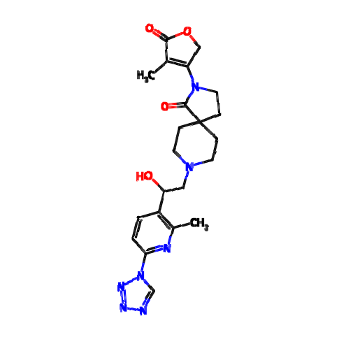 CC1=C(N2CCC3(CCN(CC(O)c4ccc(-n5cnnn5)nc4C)CC3)C2=O)COC1=O